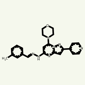 Cc1cccc(C=NNc2cc(N3CCOCC3)n3nc(-c4ccncc4)cc3n2)c1